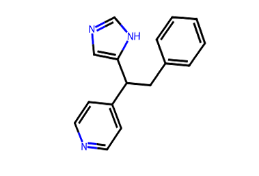 c1ccc(CC(c2ccncc2)c2cnc[nH]2)cc1